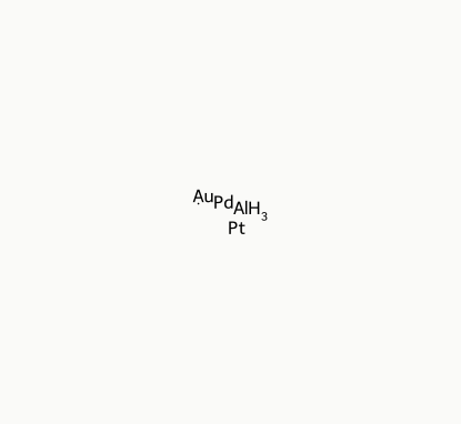 [AlH3].[Au].[Pd].[Pt]